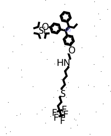 CC/C(=C(\c1ccc(OCCNCCCCCCSCCCC(F)(F)C(F)(F)F)cc1)c1ccc(O[Si](C(C)C)(C(C)C)C(C)C)cc1)c1ccccc1